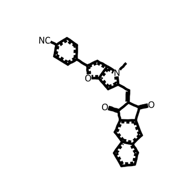 Cn1c(C=C2C(=O)c3cc4ccccc4cc3C2=O)cc2oc(-c3ccc(C#N)cc3)cc21